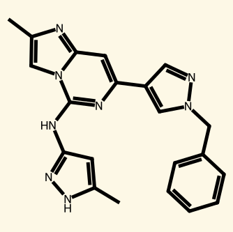 Cc1cn2c(Nc3cc(C)[nH]n3)nc(-c3cnn(Cc4ccccc4)c3)cc2n1